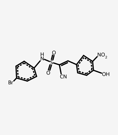 N#C/C(=C\c1ccc(O)c([N+](=O)[O-])c1)S(=O)(=O)Nc1ccc(Br)cc1